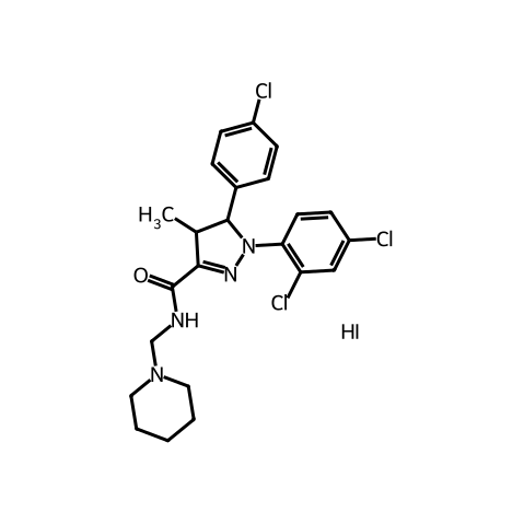 CC1C(C(=O)NCN2CCCCC2)=NN(c2ccc(Cl)cc2Cl)C1c1ccc(Cl)cc1.I